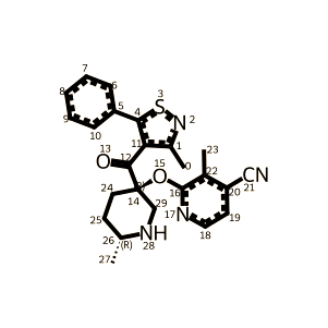 Cc1nsc(-c2ccccc2)c1C(=O)[C@@]1(Oc2nccc(C#N)c2C)CC[C@@H](C)NC1